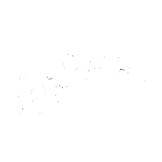 CCCOc1ccc(S(=O)(=O)N2CCC([C@H]3COCO3)CC2)cc1-c1nc2c(CCC)c(CO)n(C)c2c(=O)[nH]1